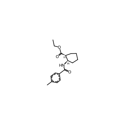 CCOC(=O)[C@H]1CCCC[C@H]1NC(=O)c1ccc(C)cc1